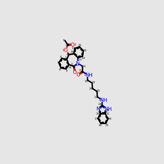 CC(=O)OC1c2ccccc2C(=O)N(CC(=O)NCCCCCNc2nc3ccccc3[nH]2)c2ccccc21